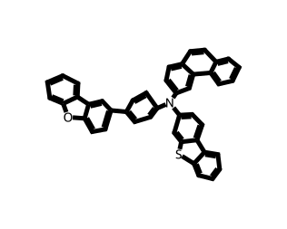 c1ccc2c(c1)ccc1ccc(N(c3ccc(-c4ccc5oc6ccccc6c5c4)cc3)c3ccc4c(c3)sc3ccccc34)cc12